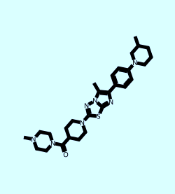 Cc1c(-c2ccc(N3CCCC(C)C3)cc2)nc2sc(N3CCC(C(=O)N4CCN(C)CC4)CC3)nn12